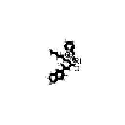 CCCCCCC(C(CC(C)c1ccc2ccccc2c1)C(=O)O)P(=O)(O)Cc1ccccc1